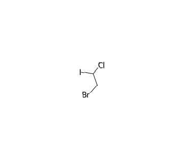 ClC(I)CBr